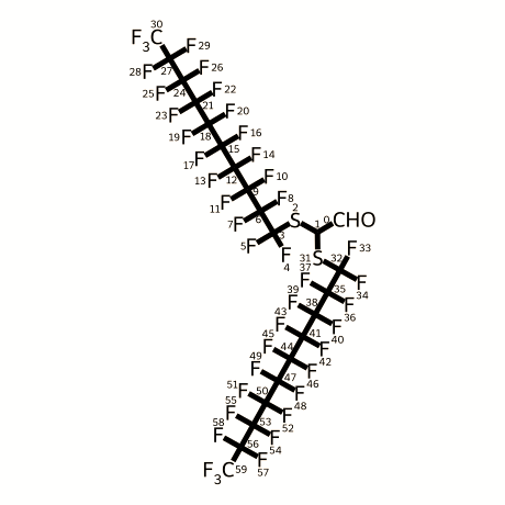 O=CC(SC(F)(F)C(F)(F)C(F)(F)C(F)(F)C(F)(F)C(F)(F)C(F)(F)C(F)(F)C(F)(F)C(F)(F)F)SC(F)(F)C(F)(F)C(F)(F)C(F)(F)C(F)(F)C(F)(F)C(F)(F)C(F)(F)C(F)(F)C(F)(F)F